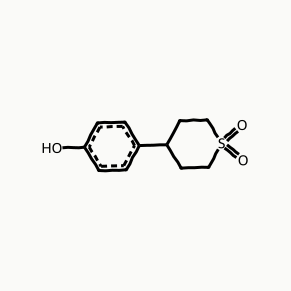 O=S1(=O)CCC(c2ccc(O)cc2)CC1